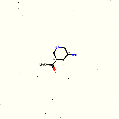 COC(=O)[C@H]1CNC[C@@H](N)C1